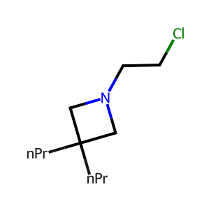 CCCC1(CCC)CN(CCCl)C1